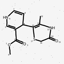 COC(=O)C1=CNC=CC1C1=C(C)NC(=O)CS1